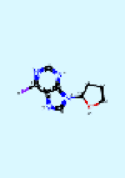 Ic1ncnc2c1ncn2C1CCCO1